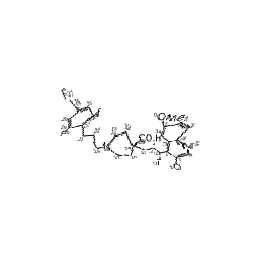 COc1ccc2ncc(Cl)c(C(F)CCC3(C(=O)O)CCN(CCCc4c(F)cc(F)cc4F)CC3)c2c1